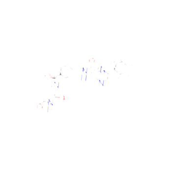 O=C1CCC(N2Cc3cc(CNC(=O)c4cncc(-c5ccccc5)n4)ccc3C2=O)C(=O)N1